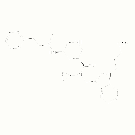 COCCCn1cc(CN(C(=O)[C@@H]2CNC[C@H](NC(=O)CCc3ccccc3)C2)C2CC2)c2ccccc21